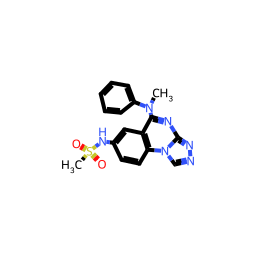 CN(c1ccccc1)c1nc2nncn2c2ccc(NS(C)(=O)=O)cc12